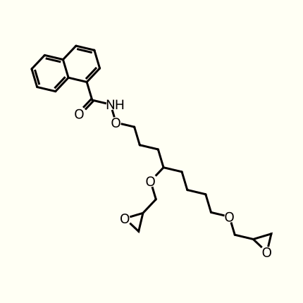 O=C(NOCCCC(CCCCOCC1CO1)OCC1CO1)c1cccc2ccccc12